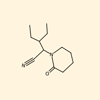 CCC(CC)C(C#N)N1CCCCC1=O